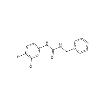 O=C(NCc1ccccc1)Nc1ccc(F)c(Cl)c1